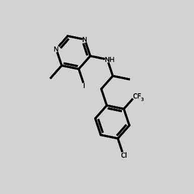 Cc1ncnc(NC(C)Cc2ccc(Cl)cc2C(F)(F)F)c1I